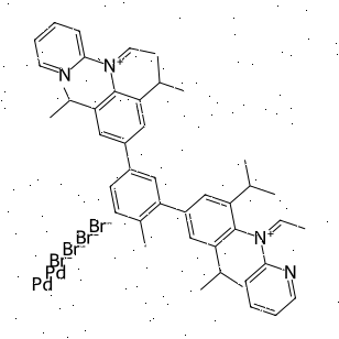 CC=[N+](c1ccccn1)c1c(C(C)C)cc(-c2ccc(C)c(-c3cc(C(C)C)c([N+](=CC)c4ccccn4)c(C(C)C)c3)c2)cc1C(C)C.[Br-].[Br-].[Br-].[Br-].[Pd].[Pd]